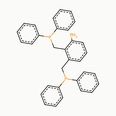 Pc1cccc(CP(c2ccccc2)c2ccccc2)c1CP(c1ccccc1)c1ccccc1